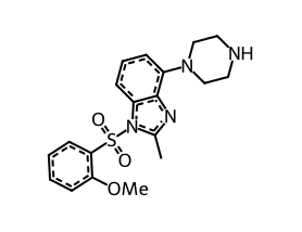 COc1ccccc1S(=O)(=O)n1c(C)nc2c(N3CCNCC3)cccc21